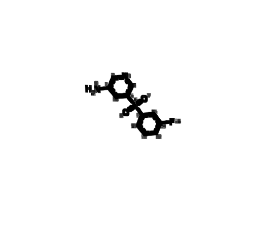 Nc1cncc(S(=O)(=O)c2cccc(F)c2)c1